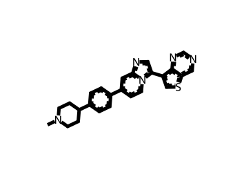 CN1CCC(c2ccc(-c3ccn4c(-c5csc6cncnc56)cnc4c3)cc2)CC1